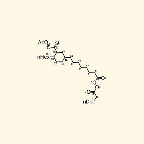 CCCCCCCCCCCC(=O)OOC(=O)CCCCCCCC1C=CC(CCCCCC)C(C(=O)OOC(C)=O)C1